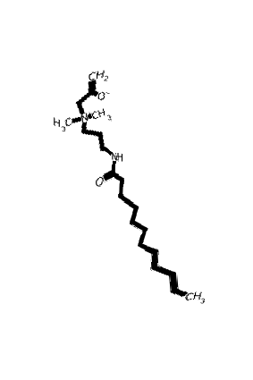 C=C([O-])C[N+](C)(C)CCCNC(=O)CCCCCCCCCCC